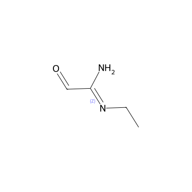 CC/N=C(\N)C=O